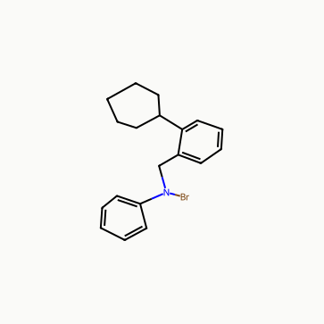 BrN(Cc1ccccc1C1CCCCC1)c1ccccc1